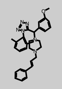 COc1cccc(C(c2nnnn2-c2c(C)cccc2C)N2CCN(CC=Cc3ccccc3)CC2)c1